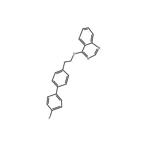 Fc1ccc(-c2ccc(CCOc3ncnc4ccccc34)cc2)cc1